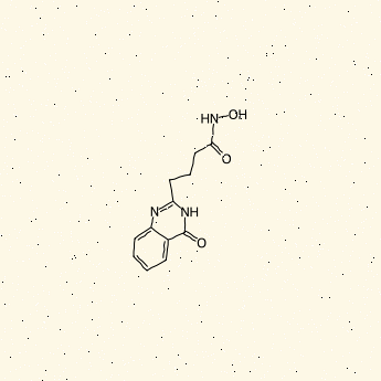 O=C(CCCc1nc2ccccc2c(=O)[nH]1)NO